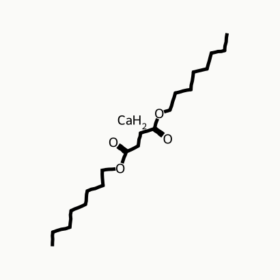 CCCCCCCCOC(=O)CCC(=O)OCCCCCCCC.[CaH2]